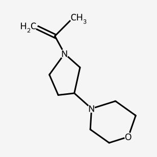 C=C(C)N1CCC(N2CCOCC2)C1